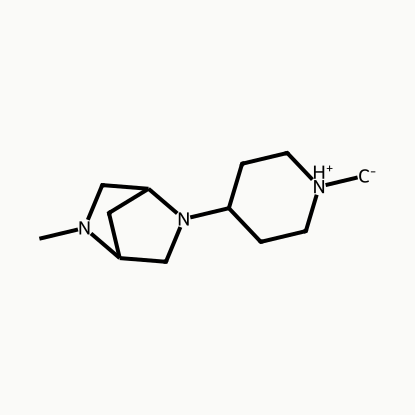 [CH2-][NH+]1CCC(N2CC3CC2CN3C)CC1